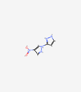 O=[N+]([O-])c1cnn(C2=N[N]C=C2)c1